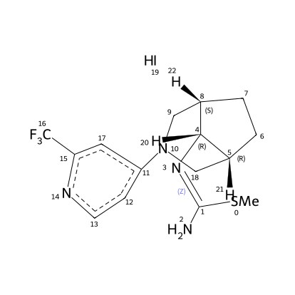 CS/C(N)=N\[C@H]1[C@@H]2CC[C@H]1CN(c1ccnc(C(F)(F)F)c1)C2.I